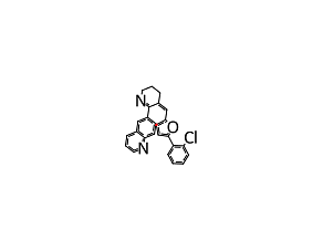 Clc1ccccc1-c1ccc(/C=C2/CCCN=C2c2ccc3ncccc3c2)o1